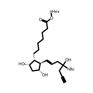 C#CCC(O)(CC=C[C@@H]1[C@@H](CCCCCCC(=O)OCCCCCC)[C@@H](O)C[C@H]1O)CCCC